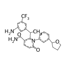 CC(c1cc(N)cc(C(F)(F)F)c1)c1c(C(N)=O)ccc(=O)n1-c1cccc(C2CCCO2)c1